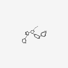 CCc1cc(-c2cccc(-c3cccnc3)c2)cc(-c2cccc(-c3cccnc3)c2)c1